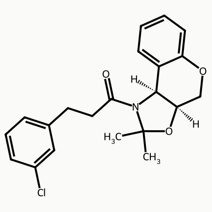 CC1(C)O[C@@H]2COc3ccccc3[C@@H]2N1C(=O)CCc1cccc(Cl)c1